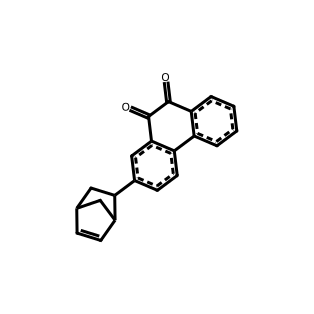 O=C1C(=O)c2cc(C3CC4C=CC3C4)ccc2-c2ccccc21